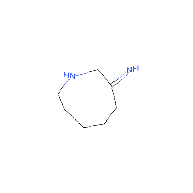 N=C1CCCCCNC1